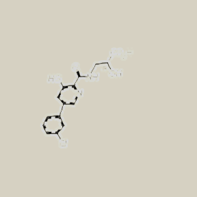 O=C(NC[C@H](O)C(=O)O)c1ncc(-c2cccc(Cl)c2)cc1O